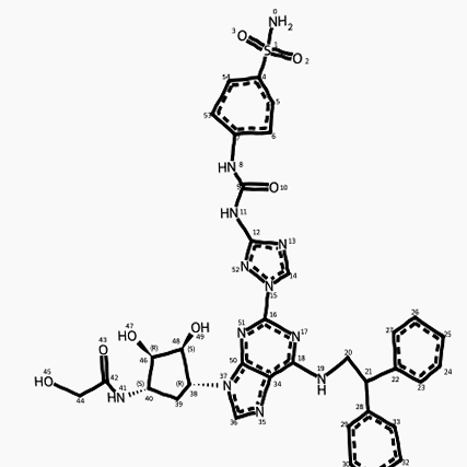 NS(=O)(=O)c1ccc(NC(=O)Nc2ncn(-c3nc(NCC(c4ccccc4)c4ccccc4)c4ncn([C@@H]5C[C@H](NC(=O)CO)[C@@H](O)[C@H]5O)c4n3)n2)cc1